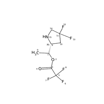 CC(OC(=O)C(F)(F)F)[C@H]1CC(F)(F)CN1